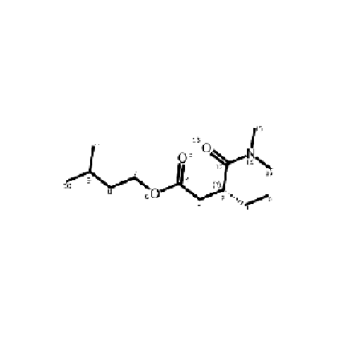 CC[C@H](CC(=O)OCCC(C)C)C(=O)N(C)C